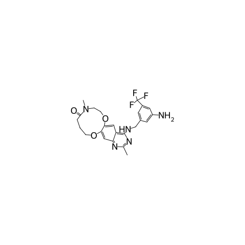 Cc1nc(NCc2cc(N)cc(C(F)(F)F)c2)c2cc3c(cc2n1)OCCCC(=O)N(C)CCO3